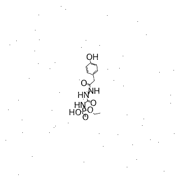 CCOP(=O)(O)NC(=O)NNC(=O)Cc1ccc(O)cc1